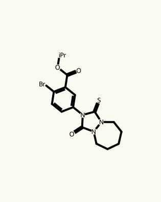 CC(C)OC(=O)c1cc(-n2c(=O)n3n(c2=S)CCCCC3)ccc1Br